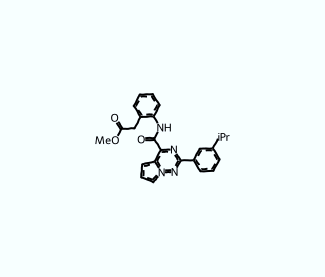 COC(=O)Cc1ccccc1NC(=O)c1nc(-c2cccc(C(C)C)c2)nn2cccc12